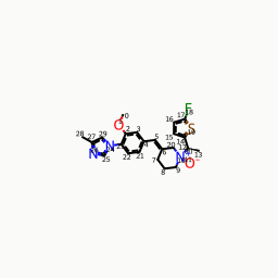 COc1cc(C=C2CCC[N+]([O-])([C@H](C)c3ccc(F)s3)C2)ccc1-n1cnc(C)c1